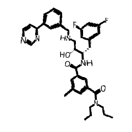 CCCN(CCC)C(=O)c1cc(C)cc(C(=O)N[C@@H](Cc2cc(F)cc(F)c2)[C@H](O)CNCc2cccc(-c3ccncn3)c2)c1